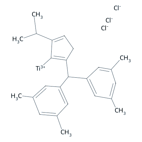 Cc1cc(C)cc(C(C2=[C]([Ti+3])C(C(C)C)=CC2)c2cc(C)cc(C)c2)c1.[Cl-].[Cl-].[Cl-]